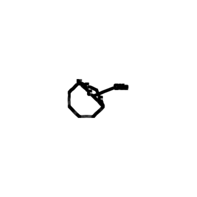 COC1CN2CCCCC1CCC2